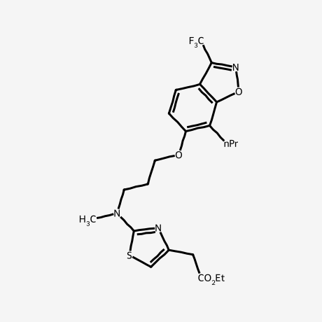 CCCc1c(OCCCN(C)c2nc(CC(=O)OCC)cs2)ccc2c(C(F)(F)F)noc12